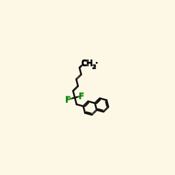 [CH2]CCCCCC(F)(F)Cc1ccc2ccccc2c1